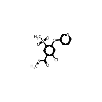 C=NC(=O)c1cc(S(C)(=O)=O)c(Oc2cccnc2)cc1Cl